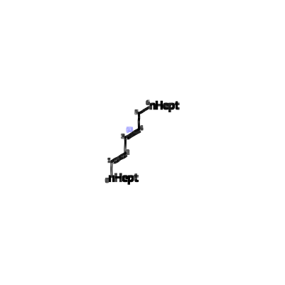 CCCCCCCC=C/[C]=C/CCCCCCCC